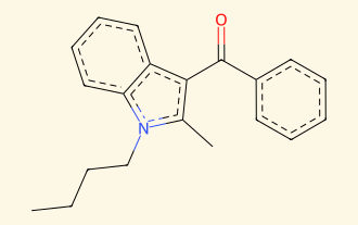 CCCCn1c(C)c(C(=O)c2ccccc2)c2ccccc21